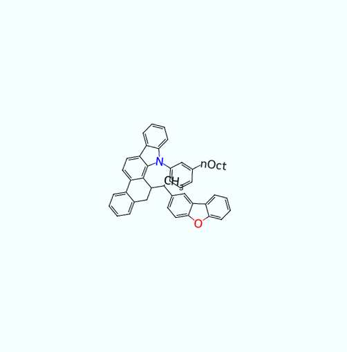 CCCCCCCCc1cccc(-n2c3ccccc3c3ccc4c(c32)C(C(C)c2ccc3oc5ccccc5c3c2)Cc2ccccc2-4)c1